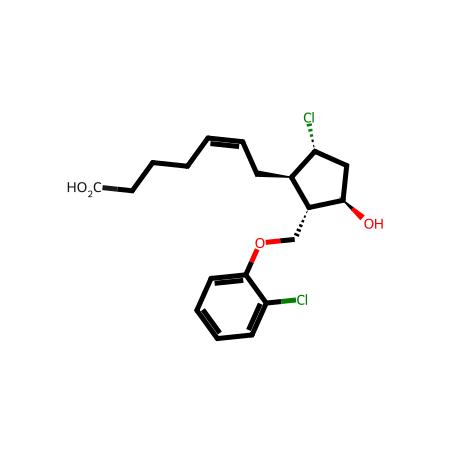 O=C(O)CCC/C=C\C[C@@H]1[C@@H](COc2ccccc2Cl)[C@H](O)C[C@H]1Cl